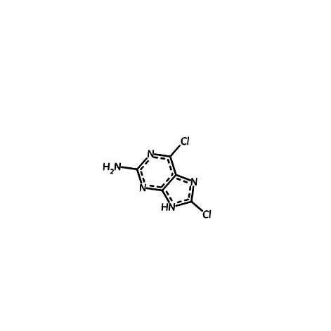 Nc1nc(Cl)c2nc(Cl)[nH]c2n1